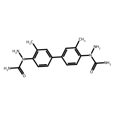 Cc1cc(-c2ccc(N(N)C(N)=O)c(C)c2)ccc1N(N)C(N)=O